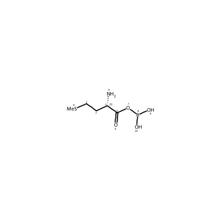 CSCC[C@H](N)C(=O)OB(O)O